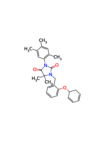 Cc1cc(C)c(N2C(=O)N(Cc3ccccc3OC3C=CC=CC3)C(C)(C)C2=O)cc1C